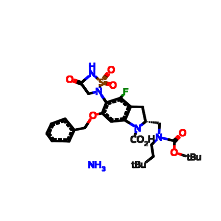 CC(C)(C)CCN(C[C@H]1Cc2c(cc(OCc3ccccc3)c(N3CC(=O)NS3(=O)=O)c2F)N1C(=O)O)C(=O)OC(C)(C)C.N